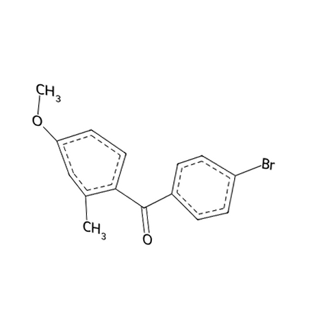 COc1ccc(C(=O)c2ccc(Br)cc2)c(C)c1